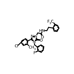 Cc1cc(Cl)ccc1-c1nn(CC(=O)NCCc2ccccc2C(F)(F)F)c(=O)n1Cc1ccccc1F